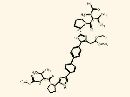 COC(=O)N[C@H](C(=O)N1CCCC1c1nc(-c2ccc(-c3ccc(-c4[nH]c([C@@H]5CCCN5C(=O)[C@H](C(C)C)N(C)C(=O)O)nc4CC(OC)OC)cc3)cc2)c[nH]1)C(C)C